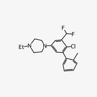 CCN1CCN(c2cc(-c3ccccc3C)c(Cl)c(C(F)F)c2)CC1